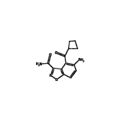 NC(=O)c1noc2ccc(N)c(C(=O)C3CCC3)c12